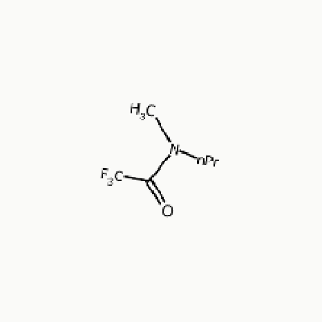 CCCN(C)C(=O)C(F)(F)F